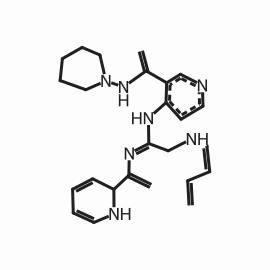 C=C/C=C\NC/C(=N\C(=C)C1C=CC=CN1)Nc1ccncc1C(=C)NN1CCCCC1